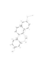 CCc1ccc2c3c(ccc2c1)-c1ccc(C)cc1CO3